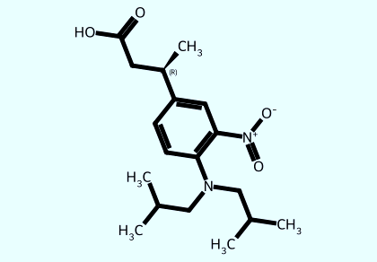 CC(C)CN(CC(C)C)c1ccc([C@H](C)CC(=O)O)cc1[N+](=O)[O-]